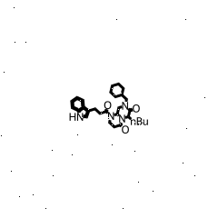 CCCCC1C(=O)N(CC2CCCCC2)CC2N(C(=O)CCc3c[nH]c4ccccc34)CCC(=O)N12